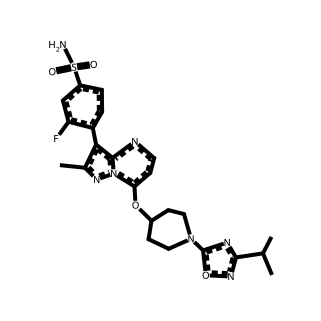 Cc1nn2c(OC3CCN(c4nc(C(C)C)no4)CC3)ccnc2c1-c1ccc(S(N)(=O)=O)cc1F